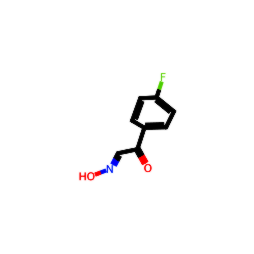 O=C(C=NO)c1ccc(F)cc1